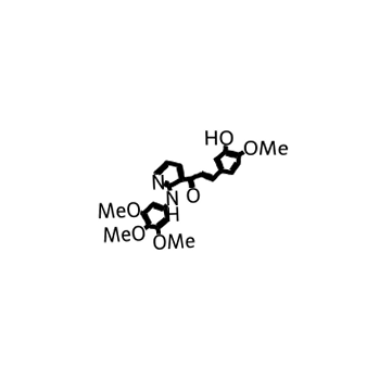 COc1ccc(C=CC(=O)c2cccnc2Nc2cc(OC)c(OC)c(OC)c2)cc1O